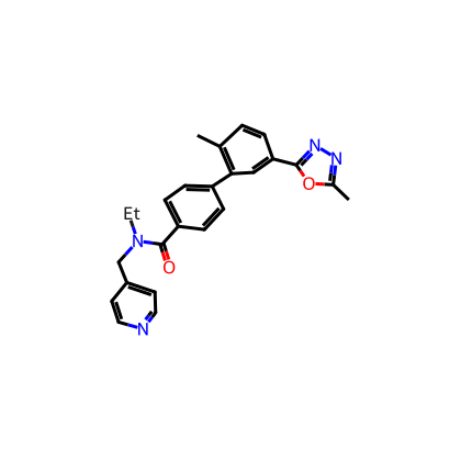 CCN(Cc1ccncc1)C(=O)c1ccc(-c2cc(-c3nnc(C)o3)ccc2C)cc1